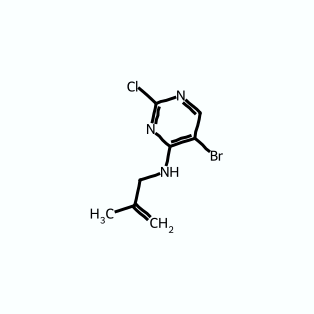 C=C(C)CNc1nc(Cl)ncc1Br